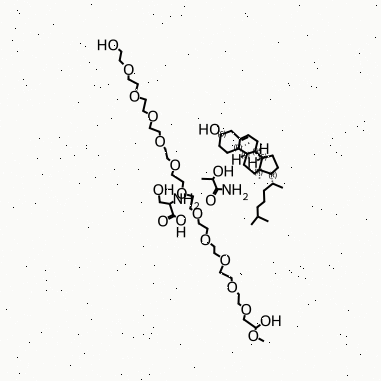 CC(C)CCCC(C)[C@H]1CC[C@H]2[C@@H]3CC=C4C[C@@H](O)CC[C@]4(C)[C@H]3CC[C@]12C.CC(O)C(N)=O.COC(O)COCCOCCOCCOCCOCCOCCOCCOCCOCCOCCOCCO.NC(CO)C(=O)O